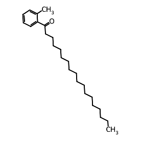 CCCCCCCCCCCCCCCCCC(=O)c1ccccc1C